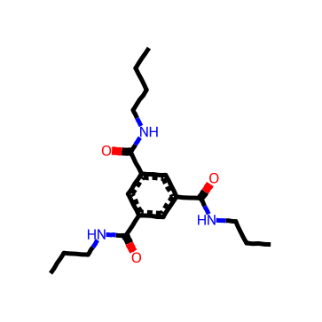 CCCCNC(=O)c1cc(C(=O)NCCC)cc(C(=O)NCCC)c1